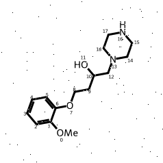 COc1ccccc1OCCC(O)CN1CCNCC1